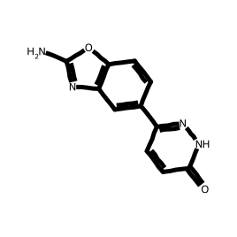 Nc1nc2cc(-c3ccc(=O)[nH]n3)ccc2o1